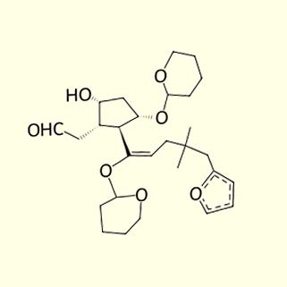 CC(C)(CC=C(OC1CCCCO1)[C@H]1[C@H](CC=O)[C@H](O)C[C@@H]1OC1CCCCO1)Cc1ccco1